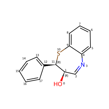 O[C@@H]1C=Nc2ccccc2S[C@@H]1c1ccccc1